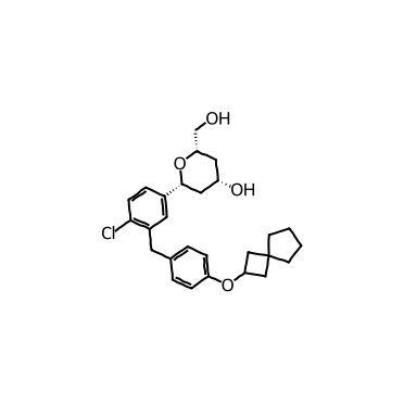 OC[C@@H]1C[C@H](O)C[C@H](c2ccc(Cl)c(Cc3ccc(OC4CC5(CCCC5)C4)cc3)c2)O1